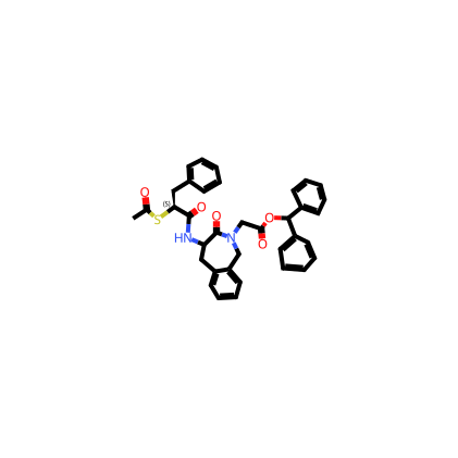 CC(=O)S[C@@H](Cc1ccccc1)C(=O)NC1Cc2ccccc2CN(CC(=O)OC(c2ccccc2)c2ccccc2)C1=O